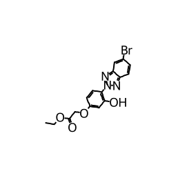 CCOC(=O)COc1ccc(-n2nc3ccc(Br)cc3n2)c(O)c1